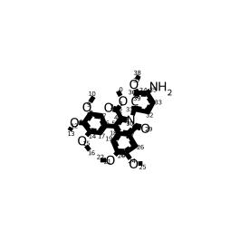 COC(=O)c1c(-c2cc(OC)c(OC)c(OC)c2)c2cc(OC)c(OC)cc2c(=O)n1-c1ccc(N)c(OC)c1